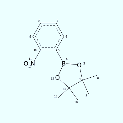 CC1(C)OB(c2ccccc2[N+](=O)[O-])OC1(C)C